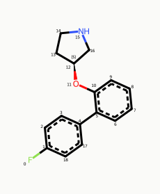 Fc1ccc(-c2ccccc2O[C@H]2CCNC2)cc1